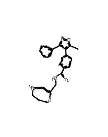 Cc1onc(-c2ccccc2)c1-c1ccc(C(=O)NCC2CNCCO2)cc1